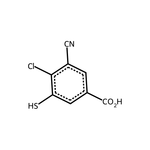 N#Cc1cc(C(=O)O)cc(S)c1Cl